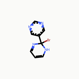 BrC1(c2cncnc2)N=CC=CN1